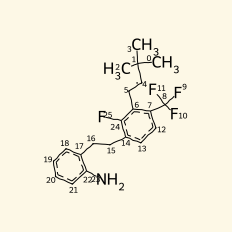 CC(C)(C)[CH]Cc1c(C(F)(F)F)ccc(CCc2ccccc2N)c1F